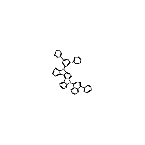 C1=CCCC(c2cc(C3=CCCC=C3)cc(-n3c4ccccc4c4c5c6ccccc6n(-c6ccc(-c7ccccc7)c7ccccc67)c5ccc43)c2)=C1